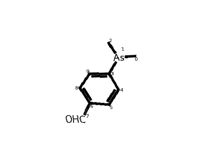 C[As](C)c1ccc(C=O)cc1